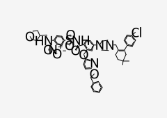 CC1(C)CCC(CN2CCN(c3ccc(C(=O)NS(=O)(=O)c4ccc(NCC5CCOCC5)c([N+](=O)[O-])c4)c(Oc4ccc(OCc5ccccc5)nc4)c3)CC2)=C(c2ccc(Cl)cc2)C1